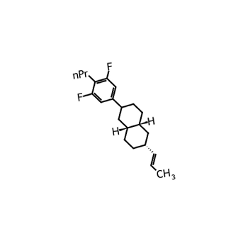 CC=C[C@@H]1CC[C@@H]2CC(c3cc(F)c(CCC)c(F)c3)CC[C@@H]2C1